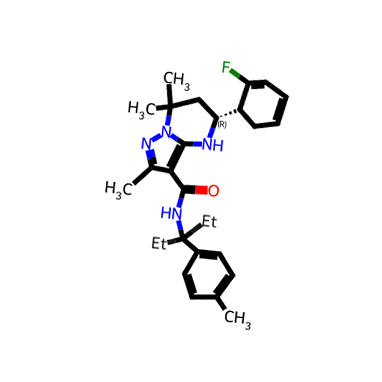 CCC(CC)(NC(=O)c1c(C)nn2c1N[C@@H](C1CC=CC=C1F)CC2(C)C)c1ccc(C)cc1